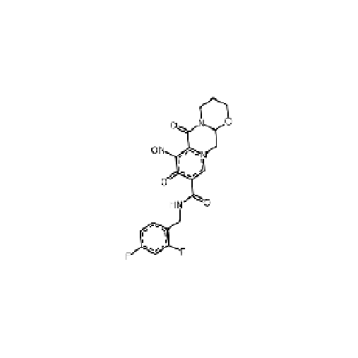 O=Nc1c2n(cc(C(=O)NCc3ccc(F)cc3F)c1=O)CC1OCCCN1C2=O